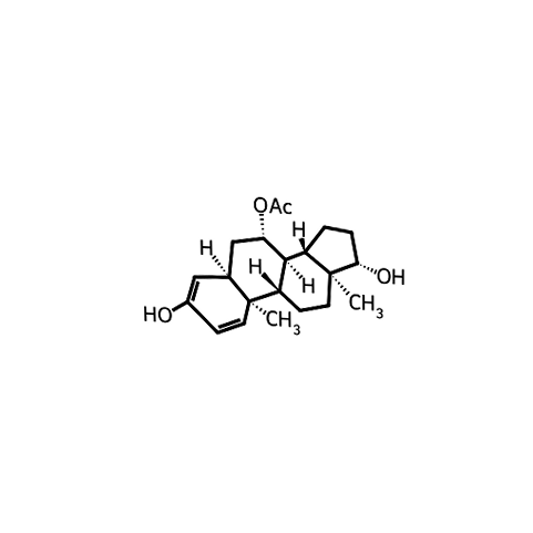 CC(=O)O[C@H]1C[C@@H]2C=C(O)C=C[C@]2(C)[C@H]2CC[C@]3(C)[C@@H](O)CC[C@H]3[C@H]12